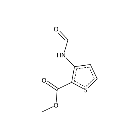 COC(=O)c1sccc1NC=O